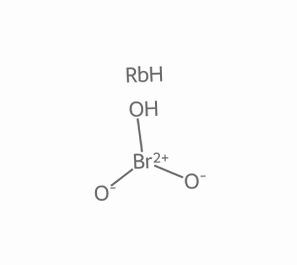 [O-][Br+2]([O-])O.[RbH]